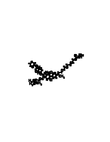 COc1nc(N(C)CCOCCOCCOCCOC(=O)NC(C)(C)C)ccc1-c1nc2nc(O[C@@H]3CO[C@H]4[C@@H]3OC[C@H]4OC3CCCCO3)n(COCC[Si](C)(C)C)c2cc1Cl